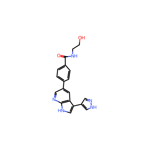 O=C(NCCO)c1ccc(-c2cnc3[nH]cc(-c4cn[nH]c4)c3c2)cc1